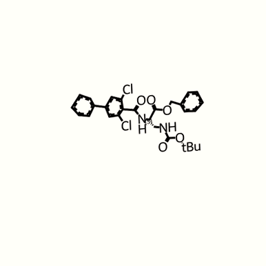 CC(C)(C)OC(=O)NC[C@H](NC(=O)c1c(Cl)cc(-c2ccccc2)cc1Cl)C(=O)OCc1ccccc1